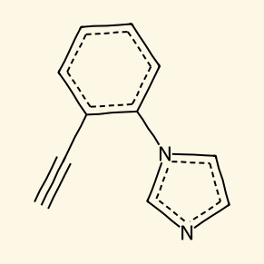 C#Cc1ccccc1-n1ccnc1